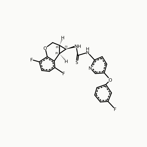 Fc1cccc(Oc2ccc(NC(=S)N[C@@H]3[C@@H]4COc5c(F)ccc(F)c5[C@@H]43)nc2)c1